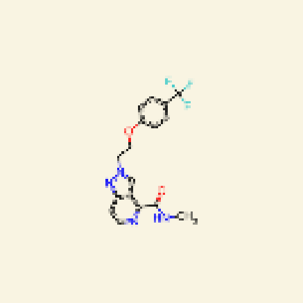 CNC(=O)c1nccc2nn(CCOc3ccc(C(F)(F)F)cc3)cc12